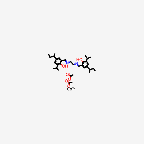 CC(=O)[O-].CC(=O)[O-].CCC(C)c1cc(C=NCCN=Cc2cc(C(C)CC)cc(C(C)C)c2O)c(O)c(C(C)C)c1.[Co+2]